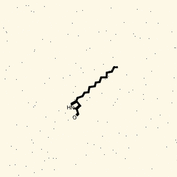 CCCCCCCCCCCCCCc1c[nH]c(C=O)c1